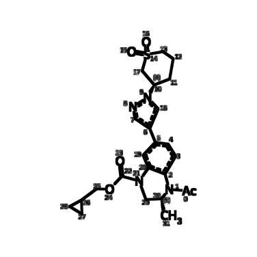 CC(=O)N1c2ccc(-c3cnn([C@@H]4CCCS(=O)(=O)C4)c3)cc2N(C(=O)OCC2CC2)C[C@@H]1C